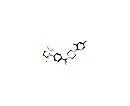 Cc1cnc(N2CCN(C(=O)c3ccc(N4[C@H](C)CCS4(=O)=O)cc3)CC2)c(C)c1